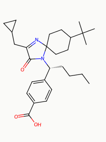 CCCC[C@H](c1ccc(C(=O)O)cc1)N1C(=O)C(CC2CC2)=NC12CCC(C(C)(C)C)CC2